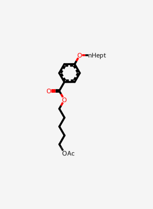 CCCCCCCOc1ccc(C(=O)OCCCCCOC(C)=O)cc1